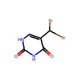 O=c1[nH]cc(C(Br)Br)c(=O)[nH]1